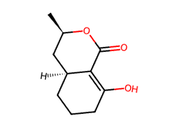 C[C@@H]1C[C@@H]2CCCC(O)=C2C(=O)O1